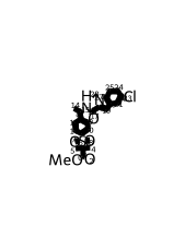 COC(=O)C(C)(C)S(=O)(=O)c1ccc(C(C)NC(=O)c2cc3cc(Cl)ccc3n2C)cc1